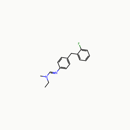 CCN(C)C=Nc1ccc(Cc2ccccc2F)cc1